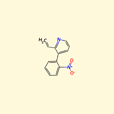 C=Cc1ncccc1-c1ccccc1[N+](=O)[O-]